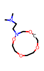 CN(C)CCN1COCCOCCOCCO1